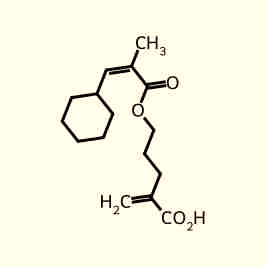 C=C(CCCOC(=O)C(C)=CC1CCCCC1)C(=O)O